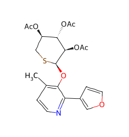 CC(=O)O[C@@H]1[C@@H](OC(C)=O)[C@@H](Oc2c(C)ccnc2-c2ccoc2)SC[C@H]1OC(C)=O